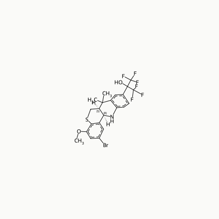 COc1cc(Br)cc2c1SC[C@@H]1[C@H]2Nc2ccc(C(O)(C(F)(F)F)C(F)(F)F)cc2C1(C)C